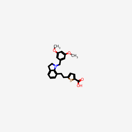 COc1cc(CN2CCc3cccc(CCc4ccc(C(=O)O)s4)c32)cc(OC)c1